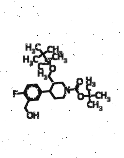 CC(C)(C)OC(=O)N1CCC(c2ccc(F)c(CO)c2)C(CO[Si](C)(C)C(C)(C)C)C1